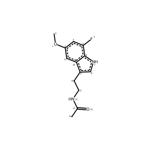 COc1cc(F)c2[nH]cc(CCNC(C)=O)c2c1